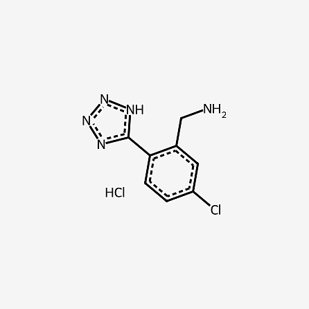 Cl.NCc1cc(Cl)ccc1-c1nnn[nH]1